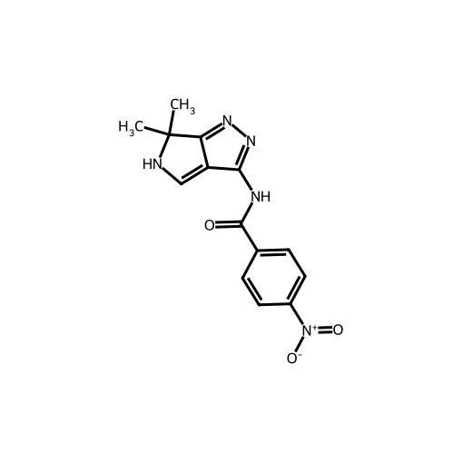 CC1(C)NC=C2C(NC(=O)c3ccc([N+](=O)[O-])cc3)=NN=C21